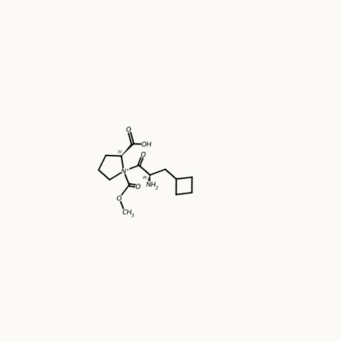 COC(=O)[N+]1(C(=O)[C@H](N)CC2CCC2)CCC[C@H]1C(=O)O